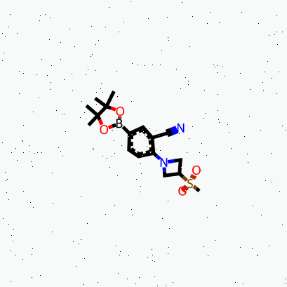 CC1(C)OB(c2ccc(N3CC(S(C)(=O)=O)C3)c(C#N)c2)OC1(C)C